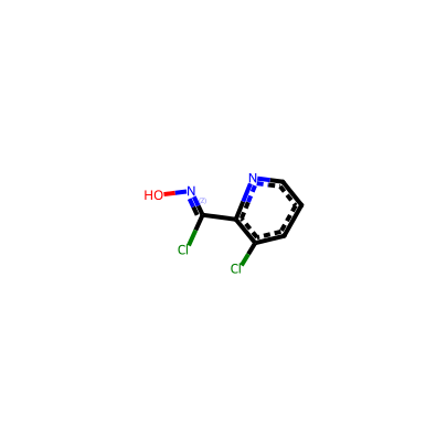 O/N=C(\Cl)c1ncccc1Cl